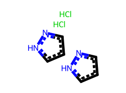 Cl.Cl.c1cn[nH]c1.c1cn[nH]c1